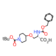 CC(C)(C)OC(=O)N1CCC(OC[C@H](NC(=O)OCc2ccccc2)C(=O)O)CC1